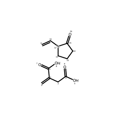 C=C(CC(=O)O)C(=O)O.C=CN1CCCC1=O